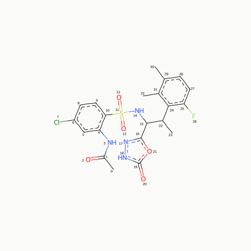 CC(=O)Nc1cc(Cl)ccc1S(=O)(=O)NC(c1n[nH]c(=O)o1)C(C)c1c(F)ccc(C)c1C